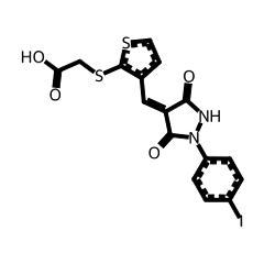 O=C(O)CSc1sccc1C=C1C(=O)NN(c2ccc(I)cc2)C1=O